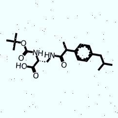 CC(C)Cc1ccc(C(C)C(=O)NC[C@@H](NC(=O)OC(C)(C)C)C(=O)O)cc1